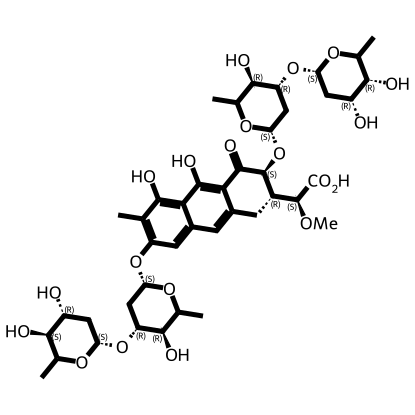 CO[C@H](C(=O)O)[C@@H]1Cc2cc3cc(O[C@H]4C[C@@H](O[C@H]5C[C@@H](O)[C@H](O)C(C)O5)[C@H](O)C(C)O4)c(C)c(O)c3c(O)c2C(=O)[C@H]1O[C@H]1C[C@@H](O[C@H]2C[C@@H](O)[C@@H](O)C(C)O2)[C@H](O)C(C)O1